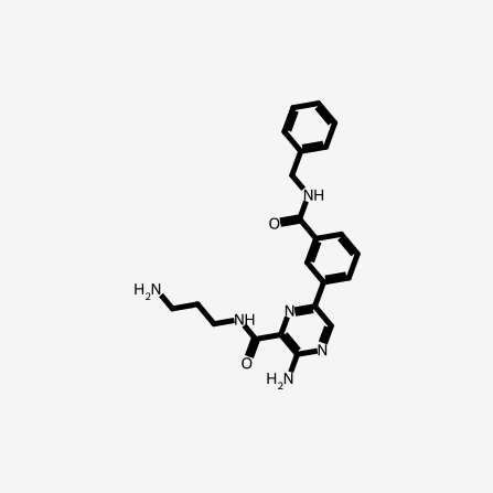 NCCCNC(=O)c1nc(-c2cccc(C(=O)NCc3ccccc3)c2)cnc1N